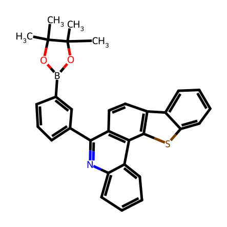 CC1(C)OB(c2cccc(-c3nc4ccccc4c4c3ccc3c5ccccc5sc34)c2)OC1(C)C